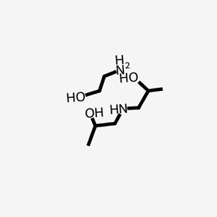 CC(O)CNCC(C)O.NCCO